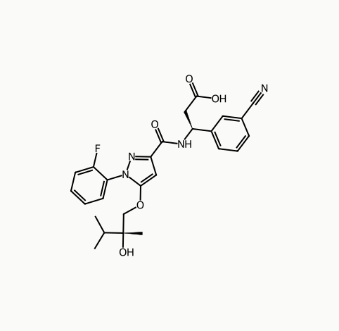 CC(C)[C@@](C)(O)COc1cc(C(=O)N[C@@H](CC(=O)O)c2cccc(C#N)c2)nn1-c1ccccc1F